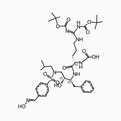 CC(C)CN(C[C@H](O)[C@H](Cc1ccccc1)NC(=O)[C@H](CCCNC(=NC(=O)OC(C)(C)C)NC(=O)OC(C)(C)C)NC(=O)O)S(=O)(=O)c1ccc(C=NO)cc1